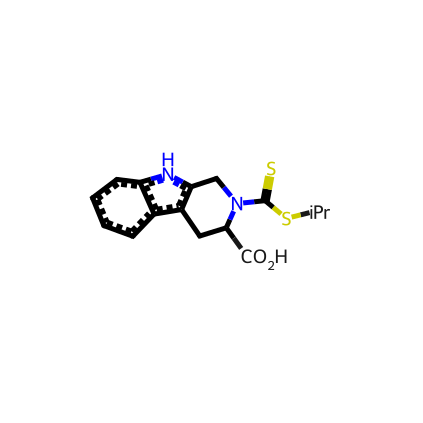 CC(C)SC(=S)N1Cc2[nH]c3ccccc3c2CC1C(=O)O